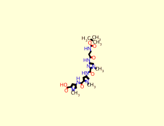 Cn1cc(NC(=O)c2cc(NC(=O)c3nc(NC(=O)CCNC(=O)OC(C)(C)C)cn3C)cn2C)cc1C(=O)O